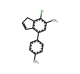 Cc1ccc(-c2cc(C)c(Br)c3c2C=CC3)cc1